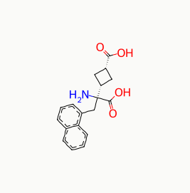 NC(Cc1cccc2ccccc12)(C(=O)O)[C@H]1C[C@@H](C(=O)O)C1